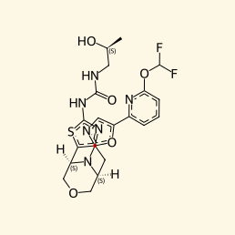 C[C@H](O)CNC(=O)Nc1nc2c(s1)[C@@H]1COC[C@H](C2)N1c1ncc(-c2cccc(OC(F)F)n2)o1